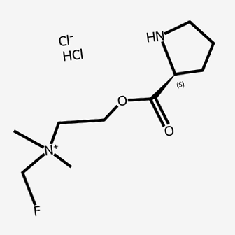 C[N+](C)(CF)CCOC(=O)[C@@H]1CCCN1.Cl.[Cl-]